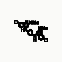 CNc1cc(NC2CCC(Nc3cc(NC)nc4cc(Cl)ccc34)CC2)c2ccc(Cl)cc2n1